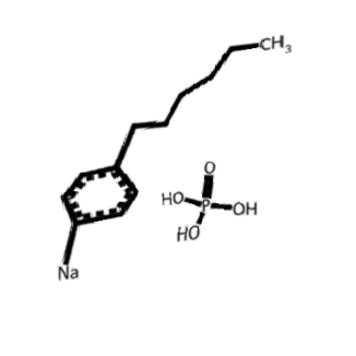 CCCCCCc1cc[c]([Na])cc1.O=P(O)(O)O